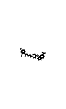 CC(C)c1ccc2cccc(OC3CCN(CCCCC(O)c4ccc(F)cc4)CC3)c2c1